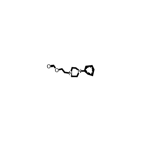 O=COCCN1CCN(c2ccccc2)CC1